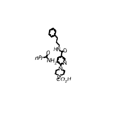 CCCC(N)=O.O=C(NCCCc1ccccc1)c1ccc(N2CCN(C(=O)O)CC2)nc1